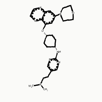 CN(C)CCc1cnc(N[C@H]2CC[C@@H](Oc3cc(N4CCOCC4)cc4nccnc34)CC2)nc1